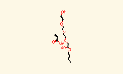 C=CC(=O)O.CCCCOC(O)COCCOCCOCCO